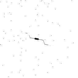 CCCCCCCC#CCSC#N